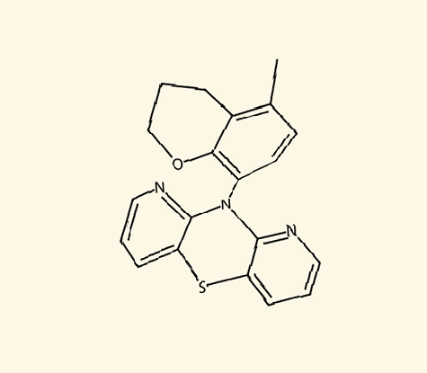 Cc1ccc(N2c3ncccc3Sc3cccnc32)c2c1CCCO2